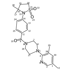 Cc1cnc(N2CCN(C(=O)c3ccc(N4C(C)(C)CCS4(=O)=O)cc3)CC2)c(C)c1